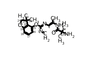 C=N/C(=N\C=C(/C)NC(=O)C(C)(C)N)Oc1cccc2c1C(C)(C)CO2